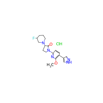 COc1nc(N2CCC(N3CCCC(F)C3)C2=O)ccc1-c1cn[nH]c1.Cl